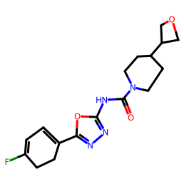 O=C(Nc1nnc(C2=CC=C(F)CC2)o1)N1CCC(C2COC2)CC1